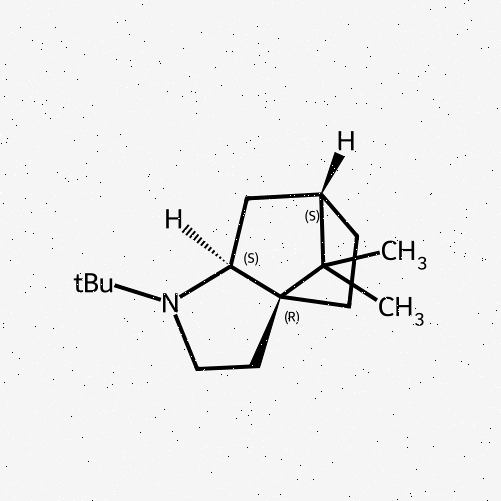 CC(C)(C)N1CC[C@@]23CC[C@@H](C[C@H]12)C3(C)C